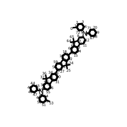 Cc1cccc(N(C2=CC3C(C=C2)c2ccc(-c4ccc5c(c4)C(C)(C)c4cc(-c6ccc7c(c6)C(C)(C)c6cc(N(c8ccccc8)c8cccc(C)c8)ccc6-7)ccc4-5)cc2C3(C)C)c2ccccc2)c1